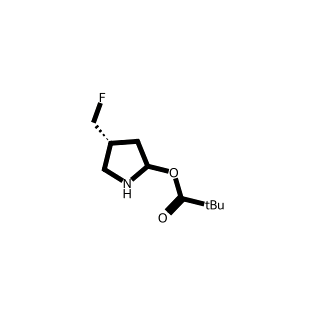 CC(C)(C)C(=O)OC1C[C@@H](CF)CN1